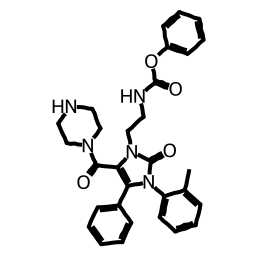 Cc1ccccc1-n1c(-c2ccccc2)c(C(=O)N2CCNCC2)n(CCNC(=O)Oc2ccccc2)c1=O